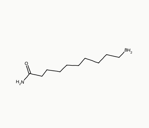 BCCCCCCCCCC(N)=O